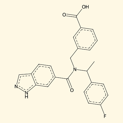 CC(c1ccc(F)cc1)N(Cc1cccc(C(=O)O)c1)C(=O)c1ccc2cn[nH]c2c1